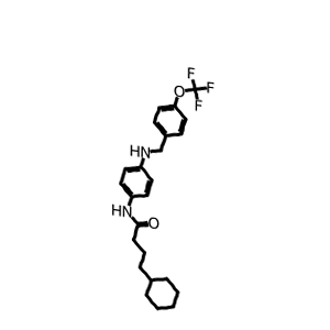 O=C(CCCC1CCCCC1)Nc1ccc(NCc2ccc(OC(F)(F)F)cc2)cc1